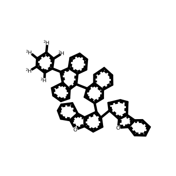 [2H]c1c([2H])c([2H])c(-c2c3ccccc3c(-c3cc(-c4c(-c5cccc6c5oc5ccccc56)ccc5oc6ccccc6c45)cc4ccccc34)c3ccccc23)c([2H])c1[2H]